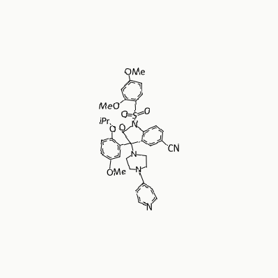 COc1ccc(S(=O)(=O)N2C(=O)C(c3cc(OC)ccc3OC(C)C)(N3CCN(c4ccncc4)CC3)c3cc(C#N)ccc32)c(OC)c1